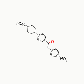 CCCCCCCCCC[C@H]1CC[C@H](c2ccc(C(=O)Cc3ccc([N+](=O)[O-])cc3)cc2)CC1